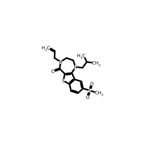 C=CCN1CCN(CC(C)C)c2c(sc3ccc(S(C)(=O)=O)cc23)C1=O